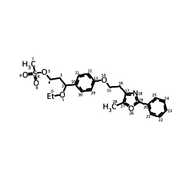 CCOC(CCOS(C)(=O)=O)c1ccc(OCCc2nc(-c3ccccc3)oc2C)cc1